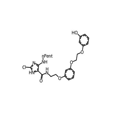 CCCCCNc1nc(Cl)[nH]c1C(=O)NCCOc1cccc(OCCOc2cccc(O)c2)c1